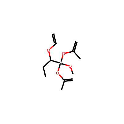 C=COC(CC)[Si](OC)(OC(=C)C)OC(=C)C